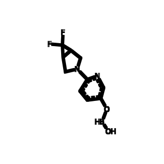 OBOc1ccc(N2CC3C(C2)C3(F)F)nc1